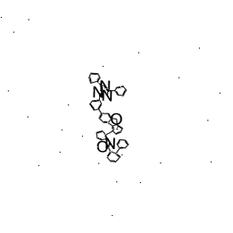 c1ccc(-c2nc(-c3ccccc3)nc(-c3cccc(-c4ccc5c(c4)oc4cccc(-c6cccc7oc(-c8ccccc8-c8ccccc8)nc67)c45)c3)n2)cc1